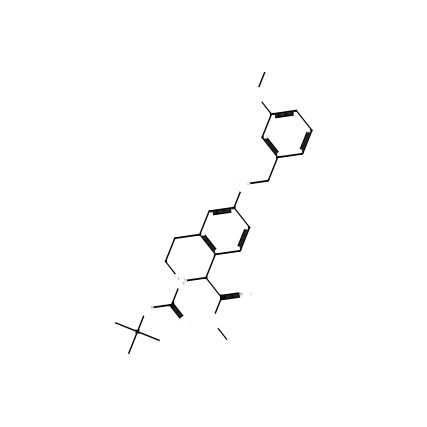 COC(=O)C1c2ccc(OCc3cccc(OC)c3)cc2CCN1C(=O)OC(C)(C)C